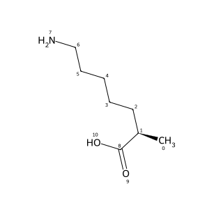 C[C@H](CCCCCN)C(=O)O